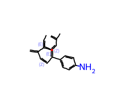 C=C(C)/C=C\C(=C/C)C(=C)/C=C\C(=C/C)c1ccc(N)cc1